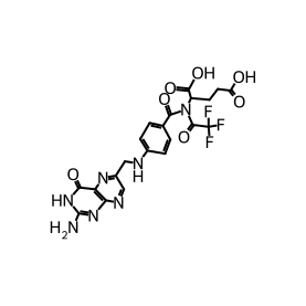 Nc1nc2ncc(CNc3ccc(C(=O)N(C(=O)C(F)(F)F)C(CCC(=O)O)C(=O)O)cc3)nc2c(=O)[nH]1